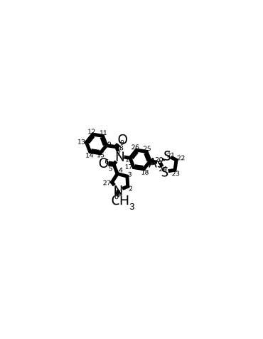 CN1CCC(C(=O)N(C(=O)c2ccccc2)c2ccc([As]3SCCS3)cc2)C1